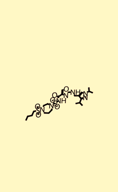 CCCCS(=O)(=O)N1CCCN(S(=O)(=O)NC(=O)c2coc(NCc3cn(C(C)C)nc3C(C)C)n2)CC1